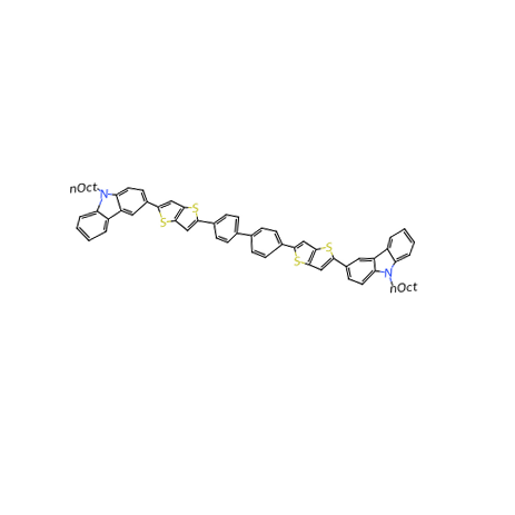 CCCCCCCCn1c2ccccc2c2cc(-c3cc4sc(-c5ccc(-c6ccc(-c7cc8sc(-c9ccc%10c(c9)c9ccccc9n%10CCCCCCCC)cc8s7)cc6)cc5)cc4s3)ccc21